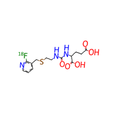 O=C(O)CCC(NC(=O)NCCSCc1cccnc1[18F])C(=O)O